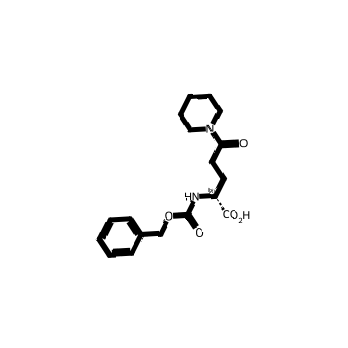 O=C(N[C@H](CCC(=O)N1CCCCC1)C(=O)O)OCc1ccccc1